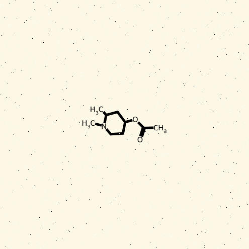 CC(=O)OC1CCN(C)C(C)C1